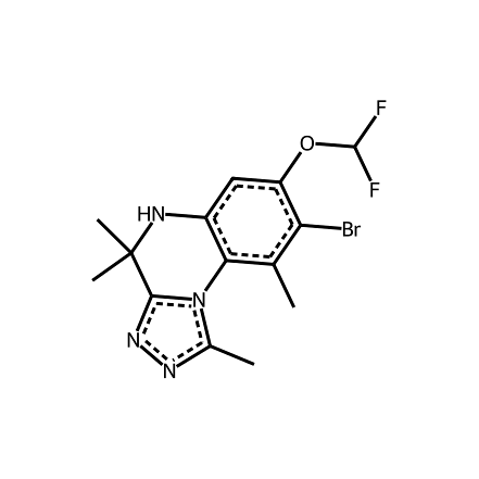 Cc1c(Br)c(OC(F)F)cc2c1-n1c(C)nnc1C(C)(C)N2